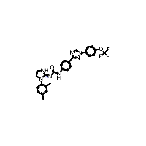 Cc1ccc(N2CCN/C2=N\C(=O)Nc2ccc(-c3ncn(-c4ccc(OC(F)(F)F)cc4)n3)cc2)c(C)c1